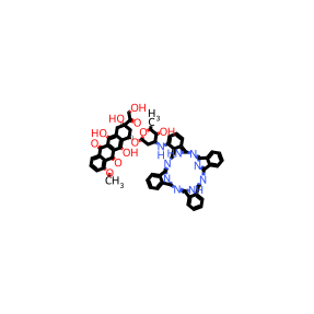 COc1cccc2c1C(=O)c1c(O)c3c(c(O)c1C2=O)C[C@@](O)(C(=O)CO)C[C@@H]3OC1CC(Nc2cccc3c4nc5nc(nc6[nH]c(nc7nc(nc([nH]4)c23)-c2ccccc2-7)c2ccccc62)-c2ccccc2-5)C(O)C(C)O1